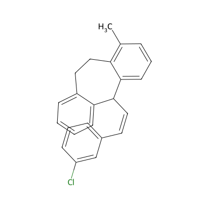 Cc1cccc2c1CCc1ccccc1C2/C=C\c1cccc(Cl)c1